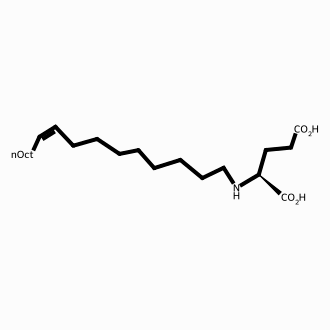 CCCCCCCC/C=C\CCCCCCCCN[C@@H](CCC(=O)O)C(=O)O